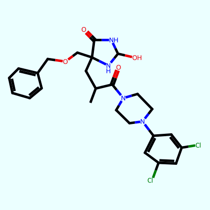 CC(CC1(COCc2ccccc2)NC(O)NC1=O)C(=O)N1CCN(c2cc(Cl)cc(Cl)c2)CC1